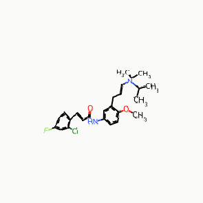 COc1ccc(NC(=O)C=Cc2ccc(F)cc2Cl)cc1CCCN(C(C)C)C(C)C